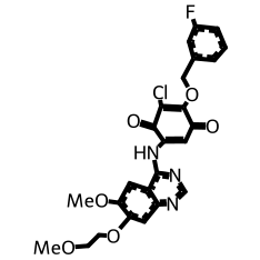 COCCOc1cc2ncnc(NC3=CC(=O)C(OCc4cccc(F)c4)=C(Cl)C3=O)c2cc1OC